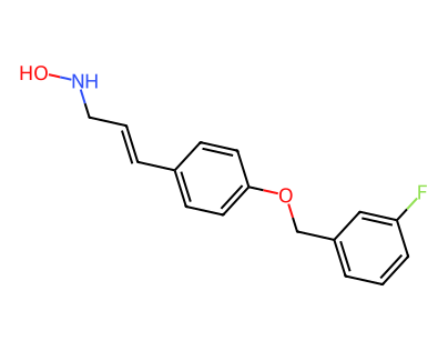 ONCC=Cc1ccc(OCc2cccc(F)c2)cc1